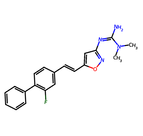 CN(C)C(N)=Nc1cc(C=Cc2ccc(-c3ccccc3)c(F)c2)on1